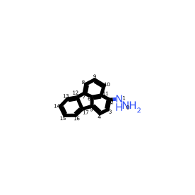 NNc1ccc2c3c(cccc13)-c1ccccc1-2